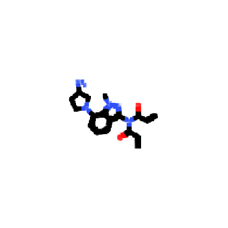 C=CC(=O)N(C(=O)C=C)c1nn(C)c2c(N3CCC(N)C3)cccc12